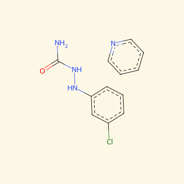 NC(=O)NNc1cccc(Cl)c1.c1ccncc1